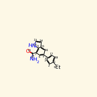 CCc1ccc(-c2cc(C(N)=O)c3[nH]ccc3c2)cc1